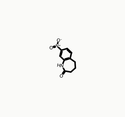 O=C1CCCc2ccc([N+](=O)[O-])cc2N1